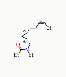 CC/C=C\CC[C@H]1C[C@H]1CN(CC)C(=O)CC